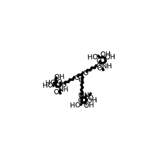 CC(=O)NC1CC(O)[C@@H](O)C(CO)O[C@H]1OCCCCCOCC(COCCCCCO[C@@H]1OC(CO)C(O)(CO)CC1NC(C)=O)COCCCCCO[C@@H]1OC(CO)[C@H](O)C(O)C1NC(C)=O